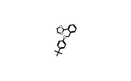 CC(C)(C)c1ccc(OCc2ccccc2C2OCCO2)cc1